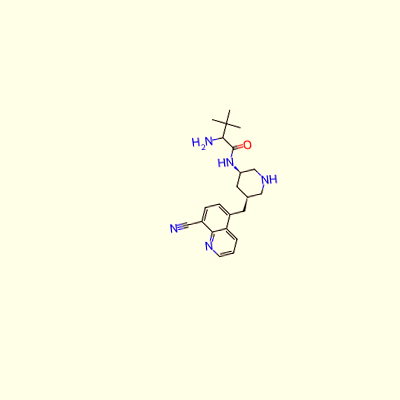 CC(C)(C)C(N)C(=O)N[C@H]1CNC[C@@H](Cc2ccc(C#N)c3ncccc23)C1